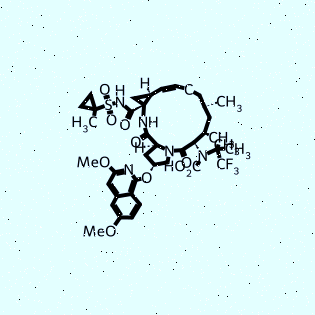 COc1ccc2c(O[C@@H]3C[C@H]4C(=O)N[C@]5(C(=O)NS(=O)(=O)C6(C)CC6)C[C@H]5/C=C\CC[C@H](C)C[C@@H](C)[C@H](N(C(=O)O)C(C)(C)C(F)(F)F)C(=O)N4C3)nc(OC)cc2c1